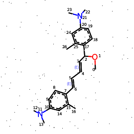 COC(/C=C/C=C/c1ccc(N(C)C)cc1C)c1ccc(N(C)C)cc1C